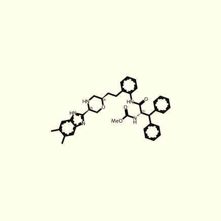 COC(=O)N[C@H](C(=O)Nc1ccccc1CC[C@@H]1CN[C@H](c2nc3cc(C)c(C)cc3[nH]2)CO1)C(c1ccccc1)c1ccccc1